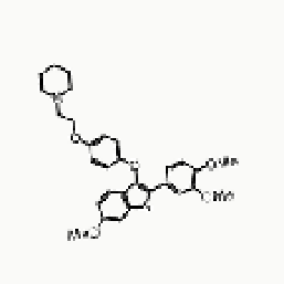 COc1ccc2c(Oc3ccc(OCCN4CCCCC4)cc3)c(-c3ccc(OC)c(OC)c3)sc2c1